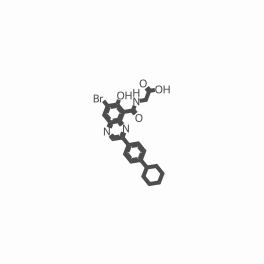 O=C(O)CNC(=O)c1c(O)c(Br)cc2ncc(-c3ccc(C4CCCCC4)cc3)nc12